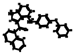 O=C(c1cccc2ccccc12)c1c[nH]c2ncnc(Nc3ccc(Cc4ccccc4)cc3)c12